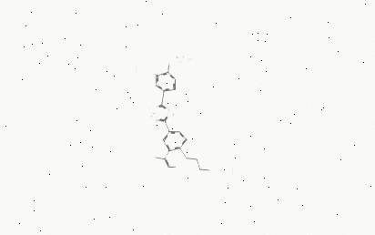 CC/C=C(/C)c1cc(-c2noc(-c3ccc(OC)c(C(F)(F)F)c3)n2)ccc1CCCC(=O)O